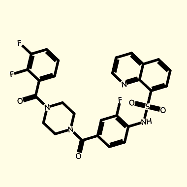 O=C(c1ccc(NS(=O)(=O)c2cccc3cccnc23)c(F)c1)N1CCN(C(=O)c2cccc(F)c2F)CC1